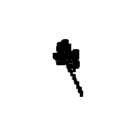 CCCCCCCCCCCCCCCCCCN1C(C(C(=O)Nc2cc(C(=O)OCC(C)C)ccc2OC)n2cnc(C(=O)OC)c2C(=O)OC)=Nc2ccccc2S1(=O)=O